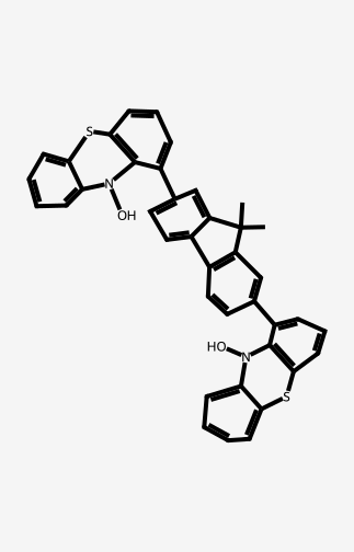 CC1(C)c2cc(-c3cccc4c3N(O)c3ccccc3S4)ccc2-c2ccc(-c3cccc4c3N(O)c3ccccc3S4)cc21